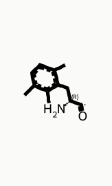 Cc1ccc(C)c(C[C@@H](N)[C]=O)c1C